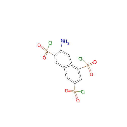 Nc1cc2c(S(=O)(=O)Cl)cc(S(=O)(=O)Cl)cc2cc1S(=O)(=O)Cl